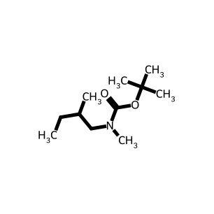 CCC(C)CN(C)C(=O)OC(C)(C)C